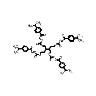 CC(C)c1ccc(C(=O)OOC(=O)OCCC(COC(=O)OOC(=O)c2ccc(C(C)C)cc2)C(CCOC(=O)OOC(=O)c2ccc(C(C)C)cc2)COC(=O)OOC(=O)c2ccc(C(C)C)cc2)cc1